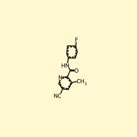 Cc1cc(C#N)cnc1C(=O)Nc1ccc(F)cc1